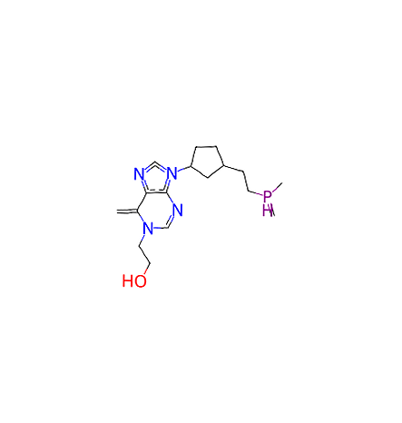 C=C1c2ncn(C3CCC(CC[PH](=C)C)C3)c2N=CN1CCO